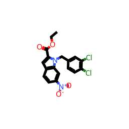 CCOC(=O)c1cc2ccc([N+](=O)[O-])cc2n1Cc1ccc(Cl)c(Cl)c1